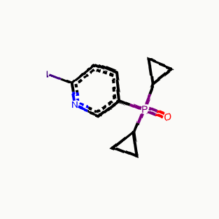 O=P(c1ccc(I)nc1)(C1CC1)C1CC1